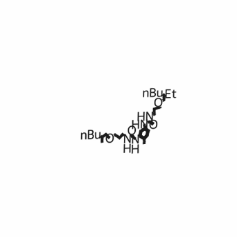 CCCCC(C)COCCCNC(=O)Nc1cc(NC(=O)NCCCOCC(CC)CCCC)ccc1C